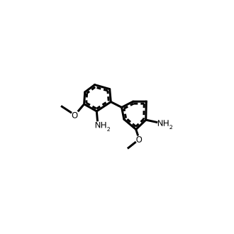 COc1cc(-c2cccc(OC)c2N)ccc1N